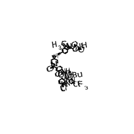 COc1cc(C(=O)N2CCC3(CC2)C[C@@H]3C#Cc2ccc3c(C4CCC(=O)NC4=O)nn(C)c3c2)ccc1NC(=O)[C@@H]1N[C@@H](CC(C)(C)C)[C@@]2(CNc3cc(C(F)(F)F)ncc32)[C@H]1c1cccc(Cl)c1F